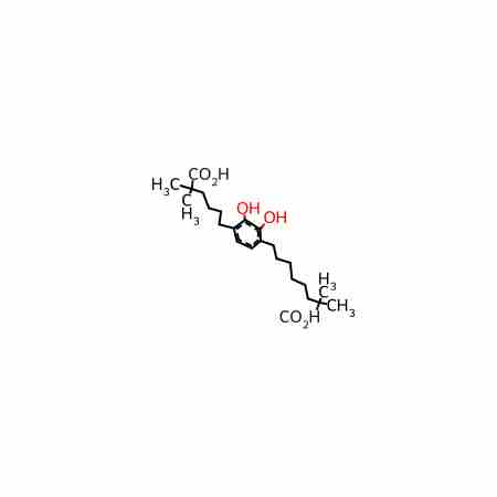 CC(C)(CCCCCCc1ccc(CCCCC(C)(C)C(=O)O)c(O)c1O)C(=O)O